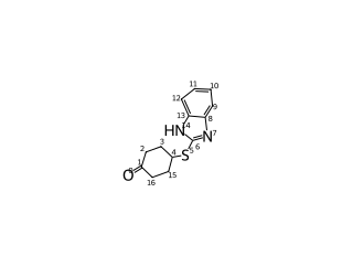 O=C1CCC(Sc2nc3ccccc3[nH]2)CC1